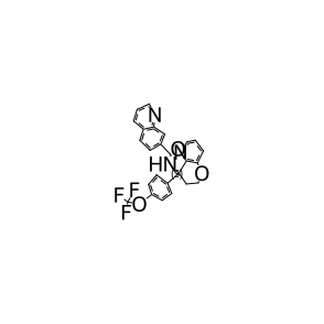 O=C(N[C@]1(c2ccc(OC(F)(F)F)cc2)CCOc2cccnc21)c1ccc2cccnc2c1